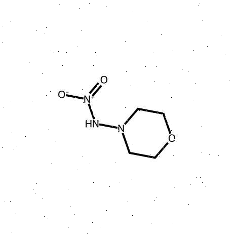 O=[N+]([O-])NN1CCOCC1